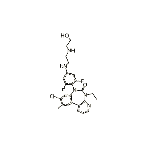 CCN1C(=O)N(c2c(F)cc(NCCNCCO)cc2F)c2cc(Cl)c(C)cc2-c2cccnc21